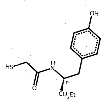 CCOC(=O)[C@H](Cc1ccc(O)cc1)NC(=O)CS